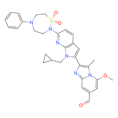 COc1cc(C=O)cc2nc(-c3cc4ccc(N5CCN(c6ccccc6)CCS5(=O)=O)nc4n3CC3CC3)c(C)n12